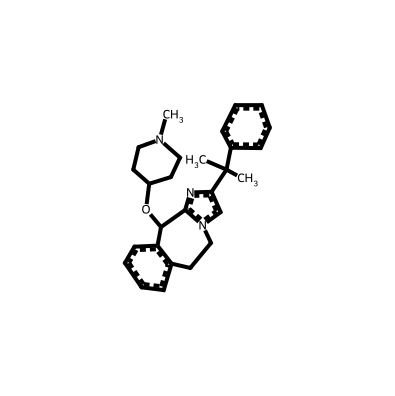 CN1CCC(OC2c3ccccc3CCn3cc(C(C)(C)c4ccccc4)nc32)CC1